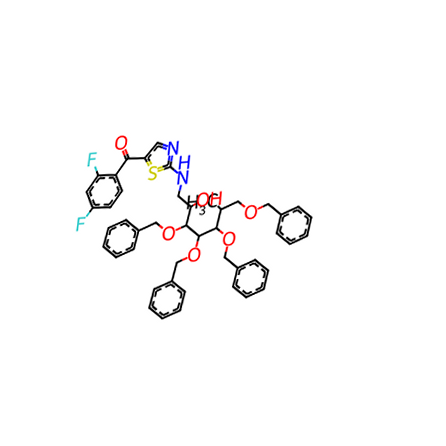 CC(COCc1ccccc1)C(OCc1ccccc1)C(OCc1ccccc1)C(OCc1ccccc1)C(O)CNc1ncc(C(=O)c2ccc(F)cc2F)s1